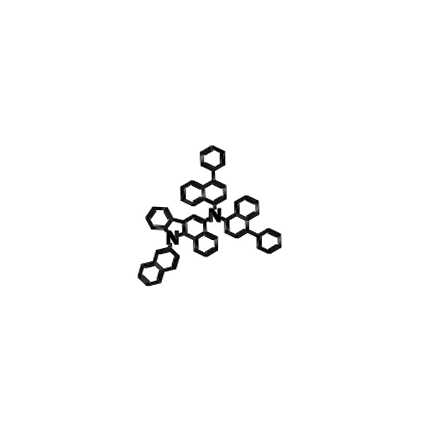 c1ccc(-c2ccc(N(c3ccc(-c4ccccc4)c4ccccc34)c3cc4c5ccccc5n(-c5ccc6ccccc6c5)c4c4ccccc34)c3ccccc23)cc1